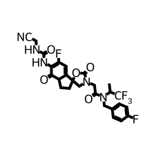 CC(N(Cc1ccc(F)cc1)C(=O)CN1CC2(CCC3C(=O)C(NC(=O)NCC#N)=C(F)C=C32)OC1=O)C(F)(F)F